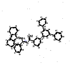 N=C(/N=C(\Nn1c2ccccc2c2ccccc21)c1ccccc1)c1cccc(-c2cc(-c3ccccc3)cc(-c3ccccc3)n2)c1